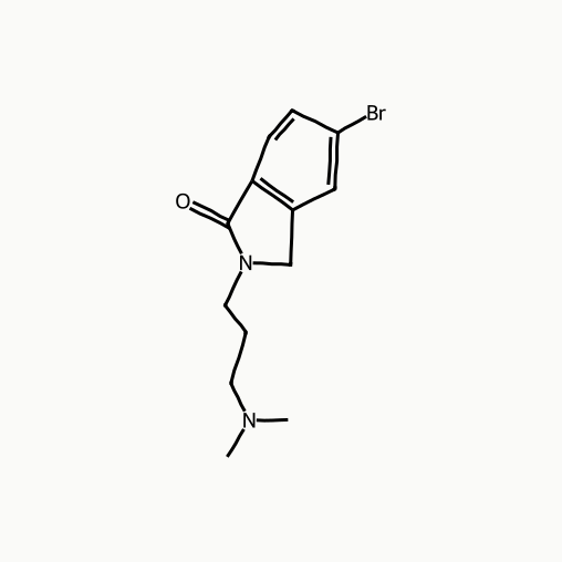 CN(C)CCCN1Cc2cc(Br)ccc2C1=O